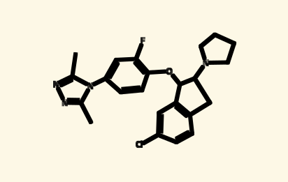 Cc1nnc(C)n1-c1ccc(OC2c3cc(Cl)ccc3CC2N2CCCC2)c(F)c1